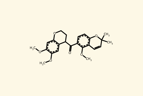 COc1cc2c(cc1OC)C(C(=O)c1ccc3c(c1OC)C=CC(C)(C)O3)CCO2